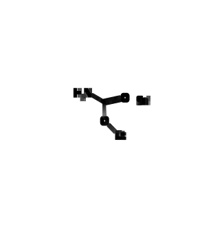 CCOC(N)=O.[Sn]